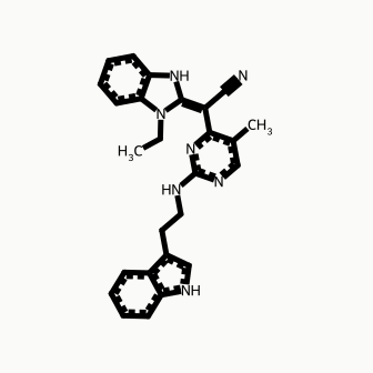 CCN1C(=C(C#N)c2nc(NCCc3c[nH]c4ccccc34)ncc2C)Nc2ccccc21